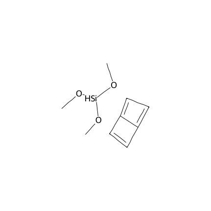 CO[SiH](OC)OC.c1cc2ccc1-2